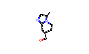 Cc1cnc2cc(C=O)ccn12